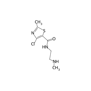 CNCCNC(=O)c1sc(C)nc1Cl